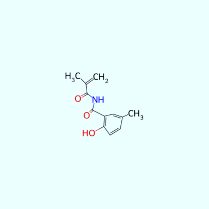 C=C(C)C(=O)NC(=O)c1cc(C)ccc1O